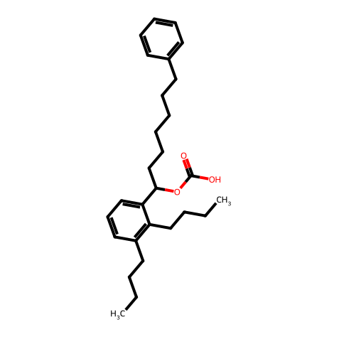 CCCCc1cccc(C(CCCCCCc2ccccc2)OC(=O)O)c1CCCC